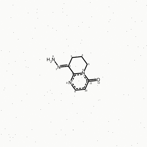 N/N=C1\CCCn2c1nccc2=O